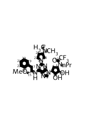 CCCN(C(=O)C(F)(F)F)[C@H]1C[C@@H](n2cnc3c(N[C@H](COC)Cc4ccccc4)nc(N4CC[C@@H](N(C)C)C4)nc32)[C@H](O)[C@@H]1O